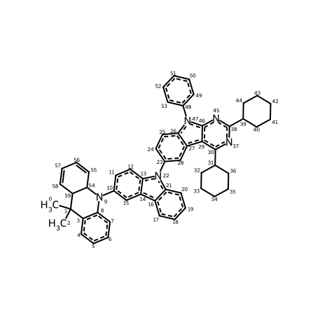 CC1(C)c2ccccc2N(c2ccc3c(c2)c2ccccc2n3-c2ccc3c(c2)c2c(C4CCCCC4)nc(C4CCCCC4)nc2n3-c2ccccc2)C2C=CC=CC21